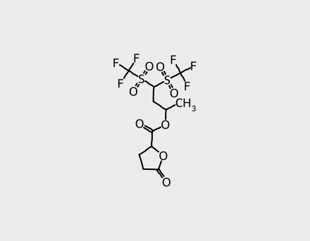 CC(CC(S(=O)(=O)C(F)(F)F)S(=O)(=O)C(F)(F)F)OC(=O)C1CCC(=O)O1